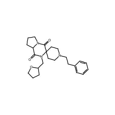 O=C1C2CCCN2C(=O)C2(CCN(CCc3ccccc3)CC2)N1CC1CCCO1